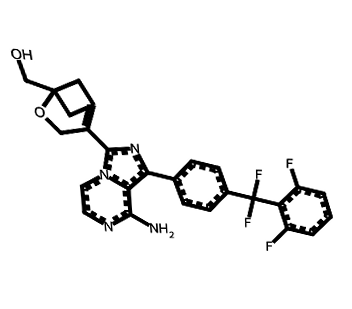 Nc1nccn2c(C3=C4CC(CO)(C4)OC3)nc(-c3ccc(C(F)(F)c4c(F)cccc4F)cc3)c12